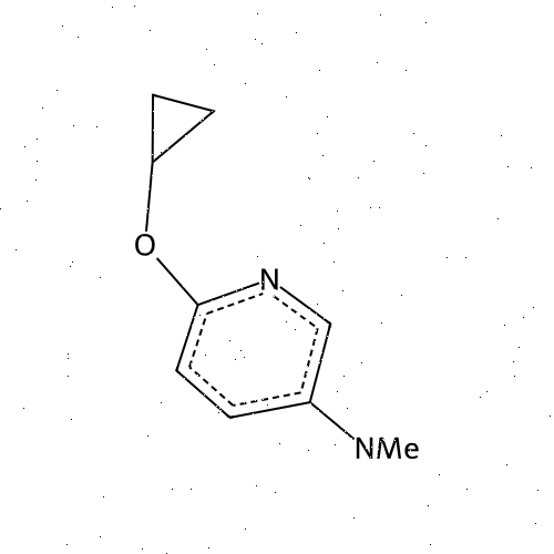 CNc1ccc(OC2CC2)nc1